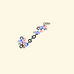 COC(=O)N[C@H](C(=O)N1CCC[C@H]1c1ncc(-c2ccc(-c3ccc(-c4cnc([C@@H]5[C@H]6CC[C@H](C6)[C@H]5C(=O)NN5CC[C@H](C)C5=O)[nH]4)cc3)cc2)[nH]1)C(C)C